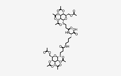 CC(=O)OC[C@H]1O[C@H](SCCC(=O)NCCCC[C@H](NC(=O)CCS[C@H]2O[C@H](COC(C)=O)[C@@H](OC(C)=O)[C@H](OC(C)=O)[C@@H]2OC(C)=O)C(=O)O)[C@@H](OC(C)=O)[C@@H](OC(C)=O)[C@@H]1OC(C)=O